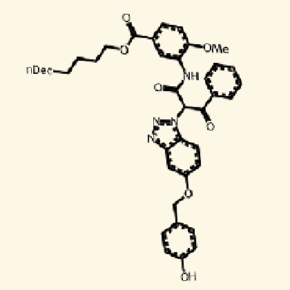 CCCCCCCCCCCCCCOC(=O)c1ccc(OC)c(NC(=O)C(C(=O)c2ccccc2)n2nnc3cc(OCc4ccc(O)cc4)ccc32)c1